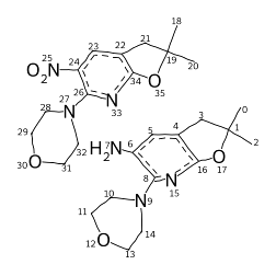 CC1(C)Cc2cc(N)c(N3CCOCC3)nc2O1.CC1(C)Cc2cc([N+](=O)[O-])c(N3CCOCC3)nc2O1